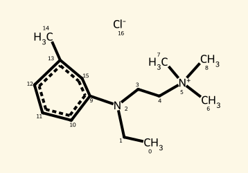 CCN(CC[N+](C)(C)C)c1cccc(C)c1.[Cl-]